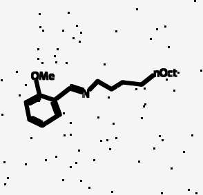 CCCCCCCCCCCCN=Cc1ccccc1OC